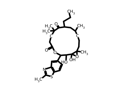 CCCC1CC(C)CCCC2(C)OC2(O)C(O)C(c2ccc3sc(C)nc3c2)OC(=O)CCC(C)(C)C1=O